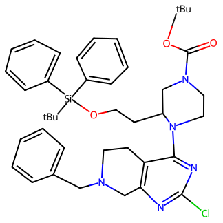 CC(C)(C)OC(=O)N1CCN(c2nc(Cl)nc3c2CCN(Cc2ccccc2)C3)C(CCO[Si](c2ccccc2)(c2ccccc2)C(C)(C)C)C1